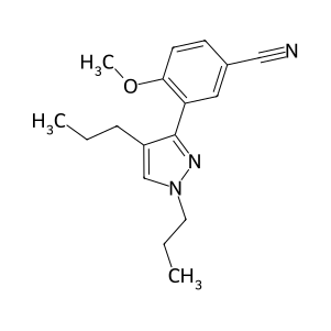 CCCc1cn(CCC)nc1-c1cc(C#N)ccc1OC